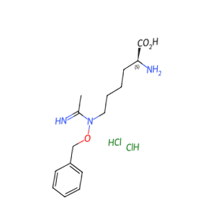 CC(=N)N(CCCC[C@H](N)C(=O)O)OCc1ccccc1.Cl.Cl